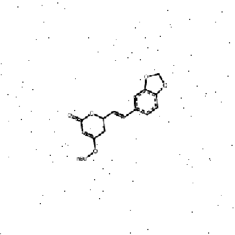 CCCCOC1=CC(=O)OC(C=Cc2ccc3c(c2)OCO3)C1